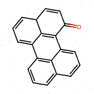 O=C1C=CC2C=CC=c3c2c1c1cccc2cccc3c21